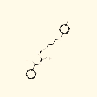 NC(/N=C\NCCCOc1ccc(Br)cc1)=N/C(N)c1ccccc1